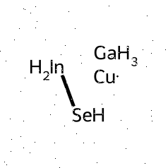 [Cu].[GaH3].[SeH][InH2]